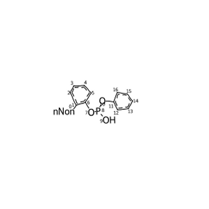 CCCCCCCCCc1ccccc1OP(O)Oc1ccccc1